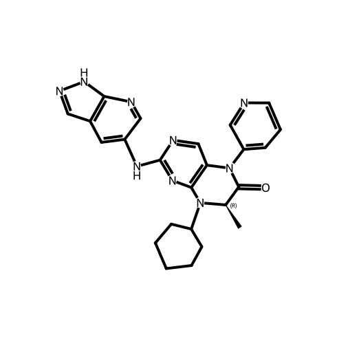 C[C@@H]1C(=O)N(c2cccnc2)c2cnc(Nc3cnc4[nH]ncc4c3)nc2N1C1CCCCC1